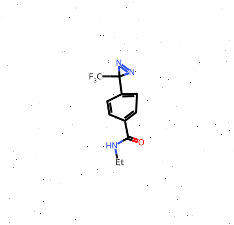 CCNC(=O)c1ccc(C2(C(F)(F)F)N=N2)cc1